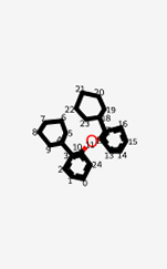 c1ccc(C2CCCCC2)c(Oc2ccccc2C2CCCCC2)c1